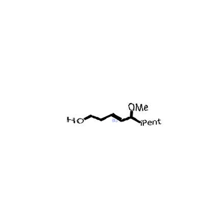 CCCC(C)C(/C=C/CCO)OC